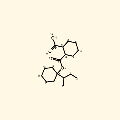 CCC(C)C1(OC(=O)C2CCCCC2C(=O)O)CCCCC1